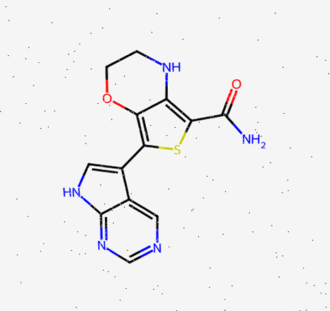 NC(=O)c1sc(-c2c[nH]c3ncncc23)c2c1NCCO2